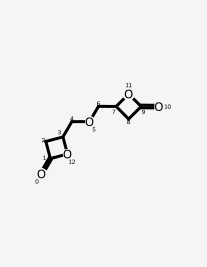 O=C1CC(COCC2CC(=O)O2)O1